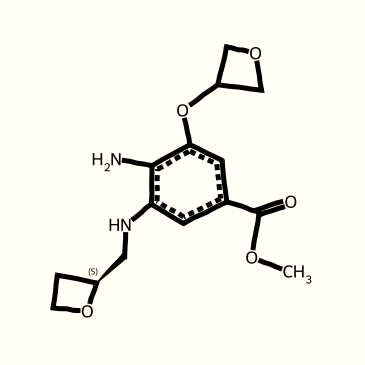 COC(=O)c1cc(NC[C@@H]2CCO2)c(N)c(OC2COC2)c1